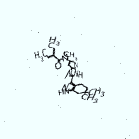 CCC(CC)C(=O)N(C)c1cnc2[nH]c(-c3n[nH]c4c3CCC(C)(C)C4)nc2c1